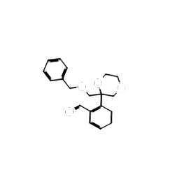 O=CC1=C(C2(COCc3ccccc3)COCCO2)CCC=C1